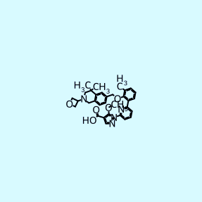 COc1c(C(=O)O)cnn1-c1cccc(-c2cccc(C)c2OCc2ccc3c(c2)C(C)(C)CN(C2COC2)C3)n1